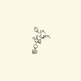 C=N/N=C(\OCC(C)CN1CCOCC1)c1cnn2c(C3CCN(C(=O)OC(C)(C)C)CC3)cc(=O)[nH]c12